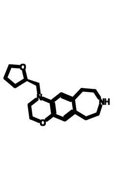 c1c2c(cc3c1OCCN3C[C@H]1CCCO1)CCNCC2